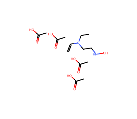 C=CN(CC)CCNO.CC(=O)O.CC(=O)O.CC(=O)O.CC(=O)O